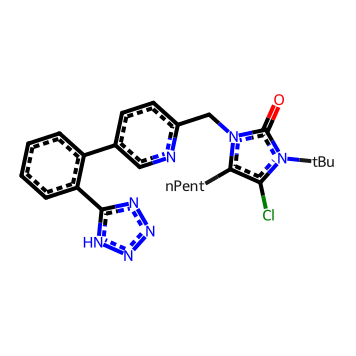 CCCCCc1c(Cl)n(C(C)(C)C)c(=O)n1Cc1ccc(-c2ccccc2-c2nnn[nH]2)cn1